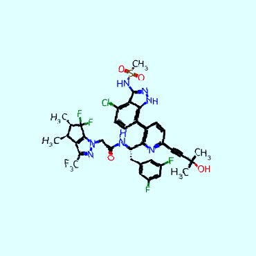 C[C@@H]1c2c(C(F)(F)F)nn(CC(=O)N[C@@H](Cc3cc(F)cc(F)c3)c3nc(C#CC(C)(C)O)ccc3-c3ccc(Cl)c4c(NS(C)(=O)=O)n[nH]c34)c2C(F)(F)[C@@H]1C